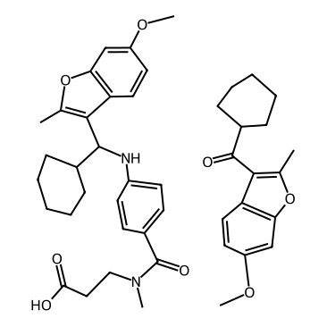 COc1ccc2c(C(=O)C3CCCCC3)c(C)oc2c1.COc1ccc2c(C(Nc3ccc(C(=O)N(C)CCC(=O)O)cc3)C3CCCCC3)c(C)oc2c1